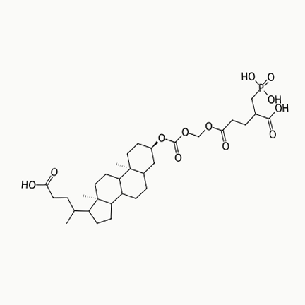 CC(CCC(=O)O)C1CCC2C3CCC4C[C@H](OC(=O)OCOC(=O)CCC(CP(=O)(O)O)C(=O)O)CC[C@]4(C)C3CC[C@]12C